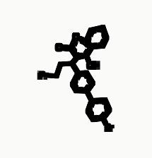 CC(C)CCC(c1ccc(-c2ccc(Br)cc2)cc1)c1c(O)c2ccccc2oc1=O